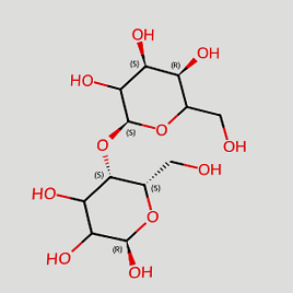 OCC1O[C@@H](O[C@H]2C(O)C(O)[C@H](O)O[C@H]2CO)C(O)[C@@H](O)[C@H]1O